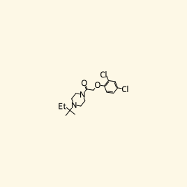 CCC(C)(C)N1CCN(C(=O)COc2ccc(Cl)cc2Cl)CC1